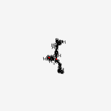 CN(CCCCC(=O)Nc1ccc(CCNC[C@H](O)c2ccc(O)c3[nH]c(=O)ccc23)cc1)C(=O)CCN1CCC(OC(=O)Nc2ccccc2-c2ccccc2)CC1.O=C(O)C(F)(F)F.O=C(O)C(F)(F)F